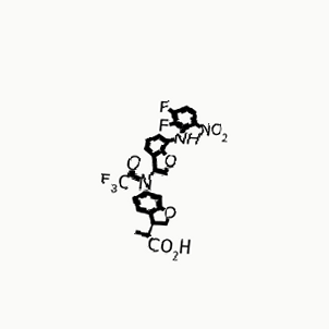 CC(C(=O)O)[C@@H]1COc2cc(N(C(=O)C(F)(F)F)[C@@H]3COc4c(Nc5c([N+](=O)[O-])ccc(F)c5F)cccc43)ccc21